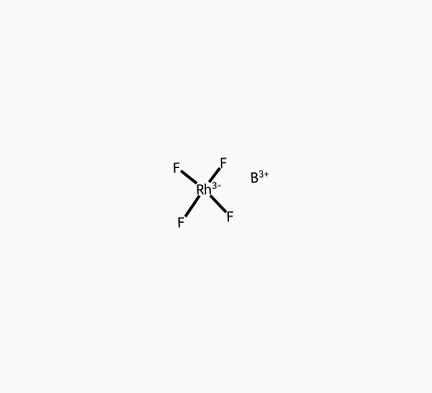 [B+3].[F][Rh-3]([F])([F])[F]